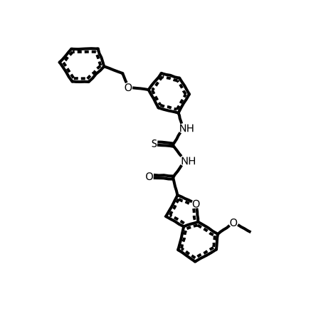 COc1cccc2cc(C(=O)NC(=S)Nc3cccc(OCc4ccccc4)c3)oc12